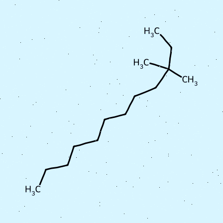 CCCCCCCCCC(C)(C)CC